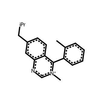 Cc1ccccc1-c1c2ccc(CC(C)C)cc2nc[n+]1C